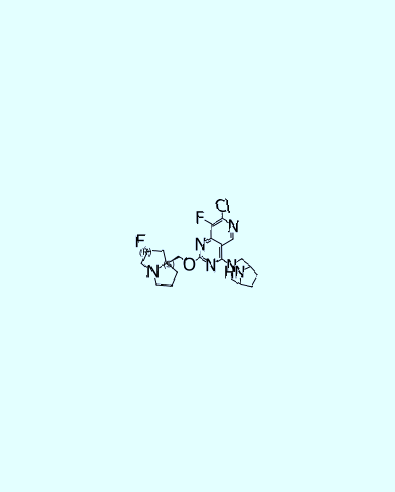 Fc1c(Cl)ncc2c(N3CC4CCC(C3)N4)nc(OC[C@@]34CCCN3C[C@H](F)C4)nc12